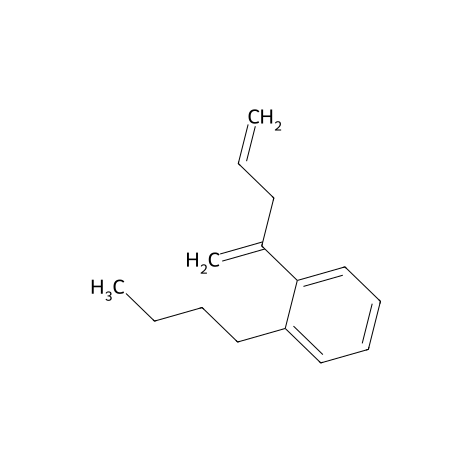 C=CCC(=C)c1ccccc1CCCC